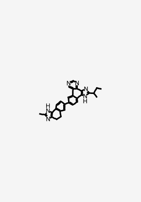 CCC(C)c1nc2c3ncncc3c3cc(-c4ccc5c(c4)CCc4nc(C)[nH]c4-5)ccc3c2[nH]1